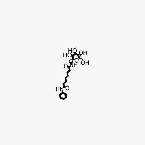 O=C(CCCCCCC(=O)Nc1ccccc1)NO[C@@H]1O[C@H](CO)[C@H](O)[C@H](O)[C@H]1O